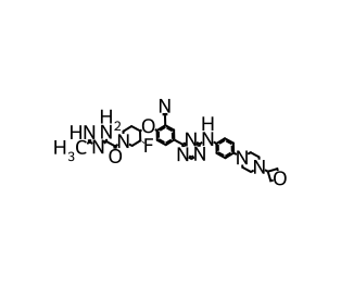 CC(=N)/N=C(\N)C(=O)N1CCC(Oc2ccc(-c3ncnc(Nc4ccc(N5CCN(C6COC6)CC5)cc4)n3)cc2C#N)[C@H](F)C1